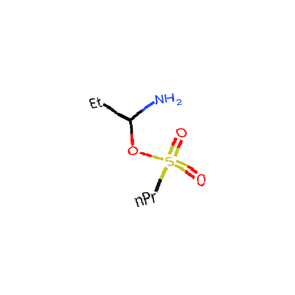 CCCS(=O)(=O)OC(N)CC